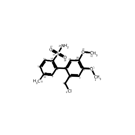 COc1cc(CCl)c(-c2cc(C)ccc2S(N)(=O)=O)cc1OC